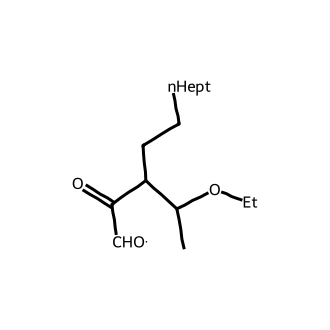 CCCCCCCCCC(C(=O)[C]=O)C(C)OCC